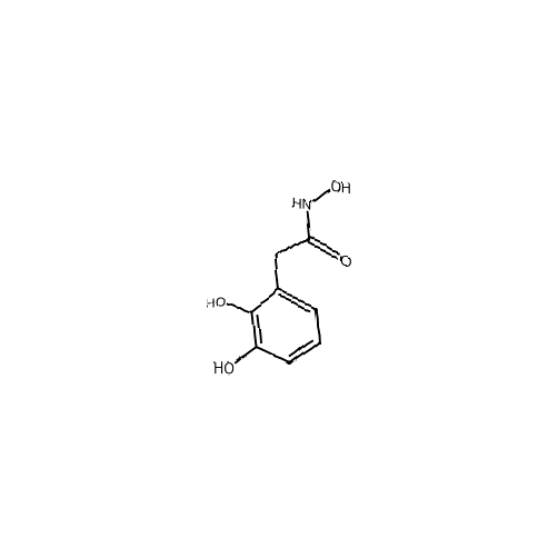 O=C(Cc1cccc(O)c1O)NO